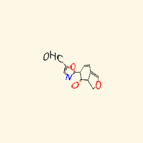 O=Cc1cnc(C2C=CC3=COCC3C2=O)o1